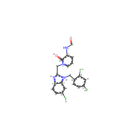 O=CNc1cccn(Cc2nc3ccc(F)cc3n2Cc2ccc(F)cc2F)c1=O